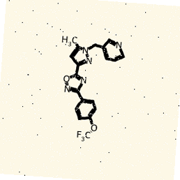 Cc1cc(-c2nc(-c3ccc(OC(F)(F)F)cc3)no2)nn1Cc1cccnc1